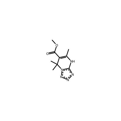 COC(=O)C1=C(C)Nc2nnnn2C1(C)C